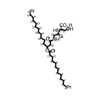 CC(C)CCCCCCCCCCCC(=O)OC(CCCCCCCCCCCC(C)C)CC(=O)NCC(=O)N[C@@H](CO)C(=O)O